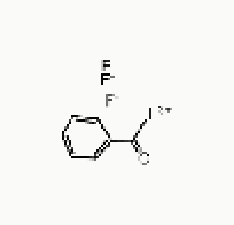 O=[C]([Ti+3])c1ccccc1.[F-].[F-].[F-]